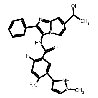 CC(O)c1ccn2c(NC(=O)c3cc(C4C=CN(C)N4)c(C(F)(F)F)cc3F)c(-c3ccccc3)nc2c1